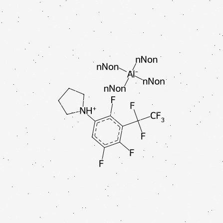 CCCCCCCC[CH2][Al-]([CH2]CCCCCCCC)([CH2]CCCCCCCC)[CH2]CCCCCCCC.Fc1cc([NH+]2CCCC2)c(F)c(C(F)(F)C(F)(F)F)c1F